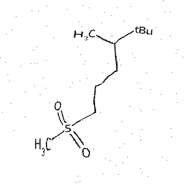 CC(CCCS(C)(=O)=O)C(C)(C)C